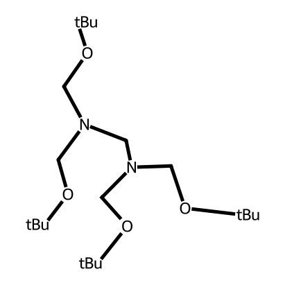 CC(C)(C)OCN(COC(C)(C)C)CN(COC(C)(C)C)COC(C)(C)C